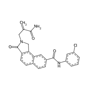 C=C(CN1Cc2c(ccc3ccc(C(=O)Nc4cccc(Cl)c4)cc23)C1=O)C(N)=O